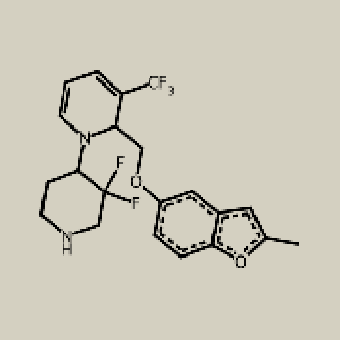 Cc1cc2cc(OCC3C(C(F)(F)F)=CC=CN3C3CCNCC3(F)F)ccc2o1